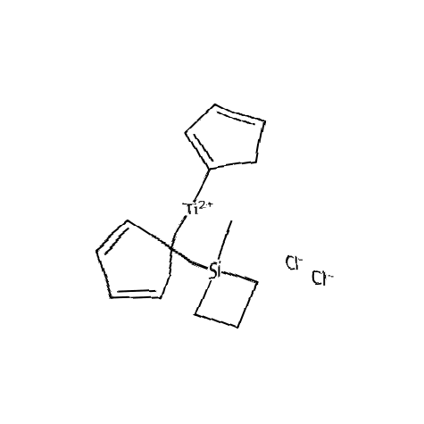 C[Si]1([C]2([Ti+2][C]3=CC=CC3)C=CC=C2)CCC1.[Cl-].[Cl-]